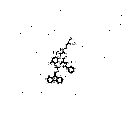 CCOC(CCNC(=O)C(C)N(C(=O)C(CNC(=O)OCC1c2ccccc2-c2ccccc21)N(Cc1ccccc1)C(=O)O)c1ccc(Cl)cc1)OCC